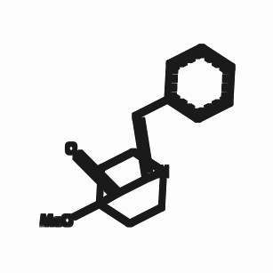 COC12CCN(CC1)C(=Cc1ccccc1)C2=O